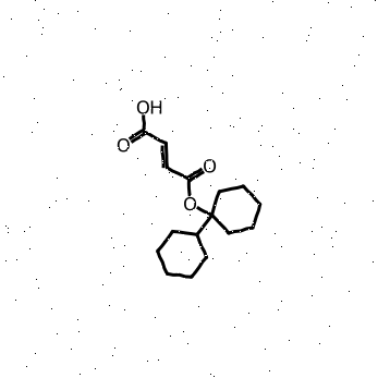 O=C(O)C=CC(=O)OC1(C2CCCCC2)CCCCC1